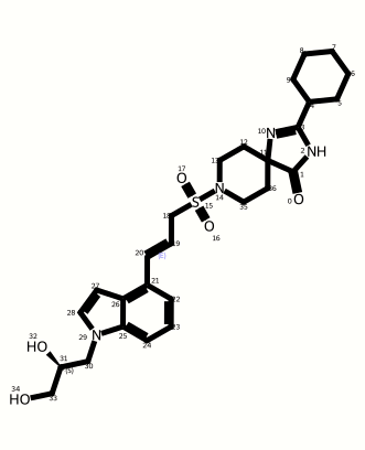 O=C1NC(C2CCCCC2)=NC12CCN(S(=O)(=O)C/C=C/c1cccc3c1ccn3C[C@H](O)CO)CC2